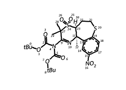 CC(C)(C)OC(=O)N(C(=O)OC(C)(C)C)C1=N[C@]2(C)c3cc([N+](=O)[O-])ccc3SCC[C@@H]2S(=O)(=O)C1(C)C